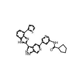 O=C(Nc1cncc(-c2cc3c(-c4nc5c(-c6cccs6)cccc5[nH]4)n[nH]c3cn2)c1)C1CCCC1